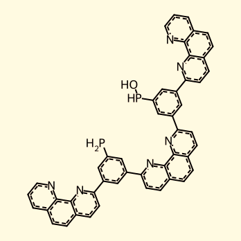 OPc1cc(-c2ccc3ccc4cccnc4c3n2)cc(-c2ccc3ccc4ccc(-c5cc(P)cc(-c6ccc7ccc8cccnc8c7n6)c5)nc4c3n2)c1